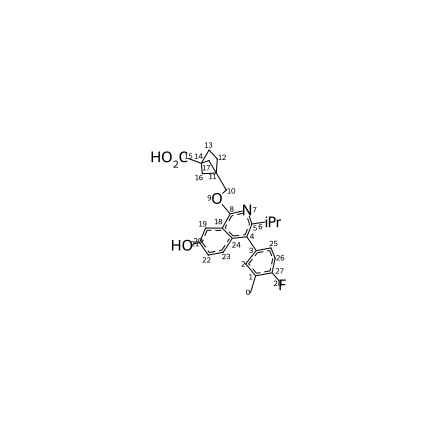 Cc1cc(-c2c(C(C)C)nc(OCC34CCC(C(=O)O)(C3)C4)c3cc(O)ccc23)ccc1F